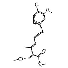 CO\C=C(C(=O)OC)/C(C)=C/C=C/c1ccc(Cl)c(OC)c1